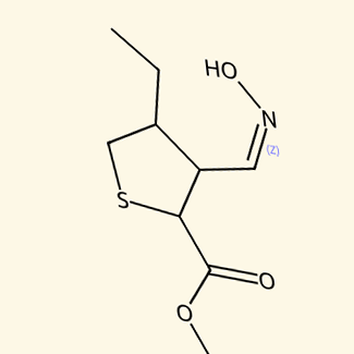 CCC1CSC(C(=O)OC)C1/C=N\O